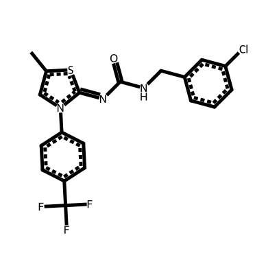 Cc1cn(-c2ccc(C(F)(F)F)cc2)/c(=N/C(=O)NCc2cccc(Cl)c2)s1